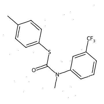 Cc1ccc(SC(=O)N(C)c2cccc(C(F)(F)F)c2)cc1